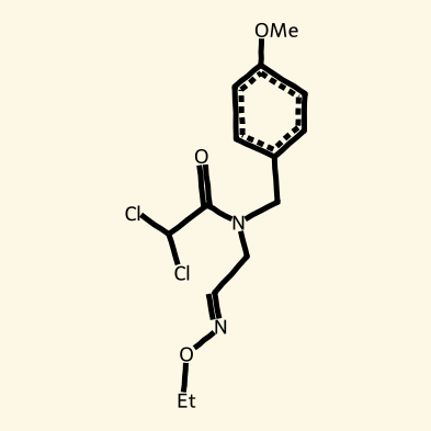 CCON=CCN(Cc1ccc(OC)cc1)C(=O)C(Cl)Cl